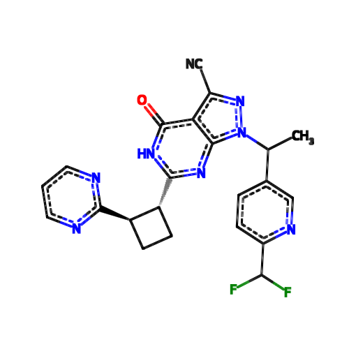 CC(c1ccc(C(F)F)nc1)n1nc(C#N)c2c(=O)[nH]c([C@@H]3CC[C@H]3c3ncccn3)nc21